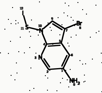 Nc1cnc2c(c1)c(Br)cn2SI